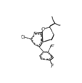 CC(C)C1CCc2c(-c3ccc(F)cc3F)cc(Cl)nc2O1